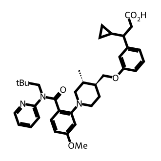 COc1ccc(C(=O)N(CC(C)(C)C)c2ccccn2)c(N2CC[C@H](COc3cccc(C(CC(=O)O)C4CC4)c3)[C@@H](C)C2)c1